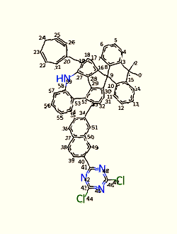 CC1(C)c2ccccc2C2(c3ccccc31)c1ccc(C3=CC=CCC#C3)c3c1-c1c2ccc(-c2ccc4ccc(-c5nc(Cl)nc(Cl)n5)cc4c2)c1-c1ccccc1N3